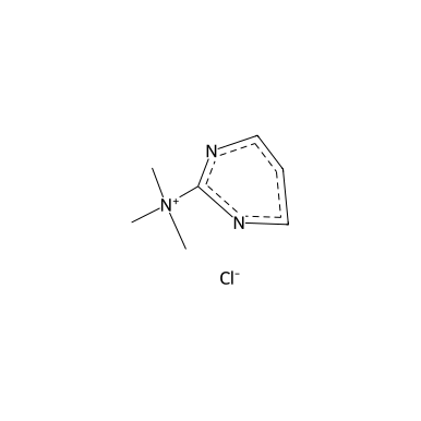 C[N+](C)(C)c1ncccn1.[Cl-]